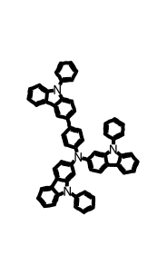 c1ccc(-n2c3ccccc3c3cc(-c4ccc(N(c5ccc6c7ccccc7n(-c7ccccc7)c6c5)c5ccc6c7ccccc7n(-c7ccccc7)c6c5)cc4)ccc32)cc1